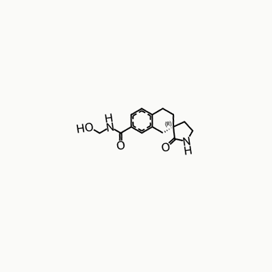 O=C(NCO)c1ccc2c(c1)C[C@@]1(CCNC1=O)CC2